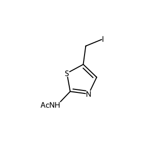 CC(=O)Nc1ncc(CI)s1